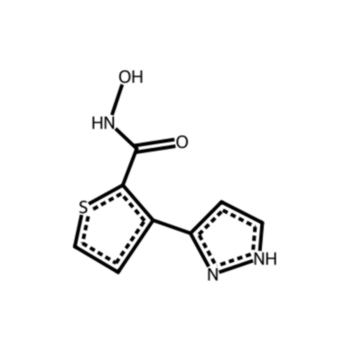 O=C(NO)c1sccc1-c1cc[nH]n1